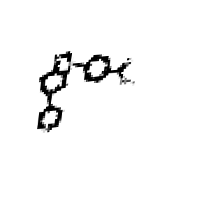 NC(=O)c1ccc(-n2cnc3ccc(-c4ccncc4)cc32)cc1